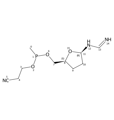 CP(OCCC#N)OC[C@@H]1CC[C@H](NC=N)O1